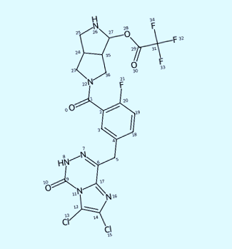 O=C(c1cc(Cc2n[nH]c(=O)n3c(Cl)c(Cl)nc23)ccc1F)N1CC2CNC(OC(=O)C(F)(F)F)C2C1